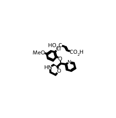 COc1ccc(O[C@@H](c2ccccn2)[C@@H]2CNCCO2)c(Cl)c1.O=C(O)C=CC(=O)O